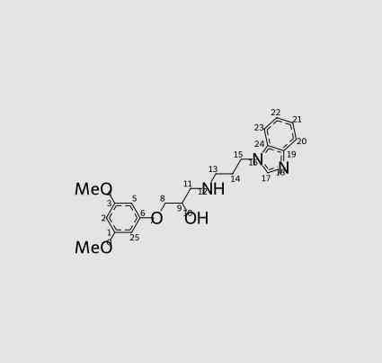 COc1cc(OC)cc(OCC(O)CNCCCn2cnc3ccccc32)c1